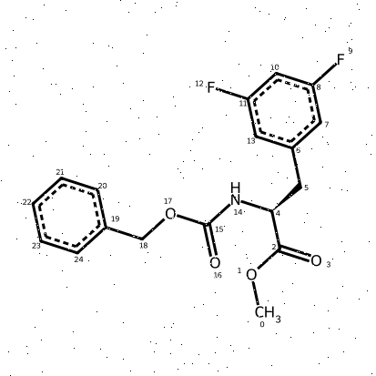 COC(=O)[C@H](Cc1cc(F)cc(F)c1)NC(=O)OCc1ccccc1